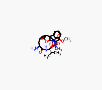 COC(=O)c1nc2oc1C13c4cc(ccc4O[C@@H]1N(S(C)(=O)=O)c1ccccc13)CC(N)C(=O)N[C@H]2C(C)C